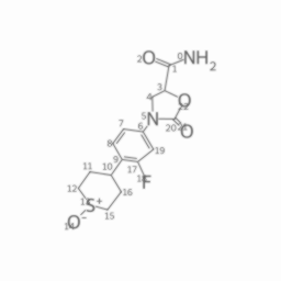 NC(=O)C1CN(c2ccc(C3CC[S+]([O-])CC3)c(F)c2)C(=O)O1